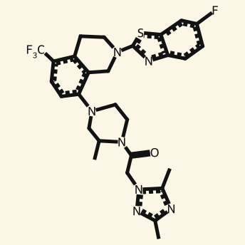 Cc1nc(C)n(CC(=O)N2CCN(c3ccc(C(F)(F)F)c4c3CN(c3nc5ccc(F)cc5s3)CC4)CC2C)n1